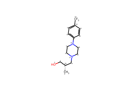 C[C@H](CO)CN1CCN(c2ccc(C(F)(F)F)cc2)CC1